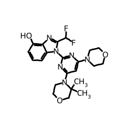 CC1(C)COCCN1c1cc(N2CCOCC2)nc(-n2c(C(F)F)nc3c(O)cccc32)n1